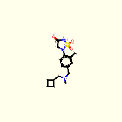 Cc1cc(CN(C)CC2CCC2)ccc1N1CC(=O)NS1(=O)=O